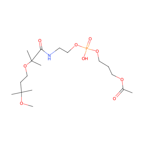 COC(C)(C)CCOC(C)(C)C(=O)NCCOP(=O)(O)OCCCOC(C)=O